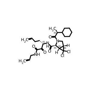 C=CCC[C@H](NC(=O)[C@@H]1[C@@H]2[C@H](CN1C(=O)[C@@H](C)C1CCCCC1)C2(Cl)Cl)C(=O)C(=O)NCC=C